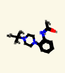 CC(=O)Nc1ccccc1N1CCN(C(C)(C)C)CC1